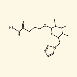 CC1C(Cn2ccnc2)OC(OCCCC(=O)NS)C(C)C1C